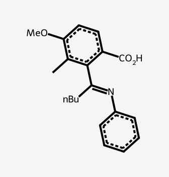 CCCCC(=Nc1ccccc1)c1c(C(=O)O)ccc(OC)c1C